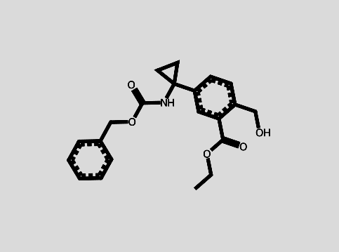 CCOC(=O)c1cc(C2(NC(=O)OCc3ccccc3)CC2)ccc1CO